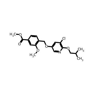 COC(=O)c1ccc(COc2cnc(OCC(C)C)c(Cl)c2)c(OC)c1